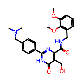 COc1cccc(CNC(=O)c2nc(-c3ccc(CN(C)C)cc3)[nH]c(=O)c2CO)c1OC